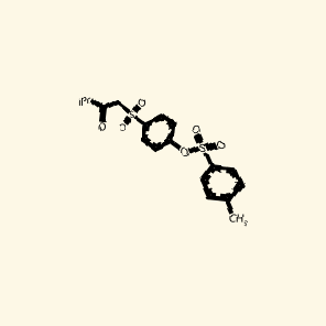 Cc1ccc(S(=O)(=O)Oc2ccc(S(=O)(=O)CC(=O)C(C)C)cc2)cc1